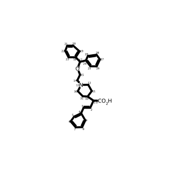 O=C(O)C(/C=C/c1ccccc1)C1CCN(CCOC(c2ccccc2)c2ccccc2)CC1